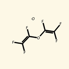 FC(F)=C(F)OC(F)=C(F)F.[O]